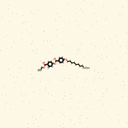 CCCCCCCCCCCCCCCCCCOc1ccc(C(=O)Oc2ccc(C(=O)OCC(C)CC)c(F)c2)cc1